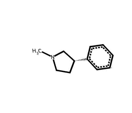 CN1CC[C@@H](c2c[c]ccc2)C1